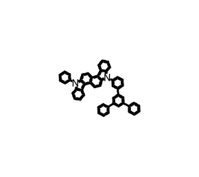 c1ccc(-c2cc(-c3ccccc3)cc(-c3cccc(-n4c5ccccc5c5c6ccc7c(c6ccc54)c4ccccc4n7-c4ccccc4)c3)c2)cc1